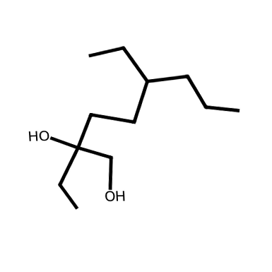 CCCC(CC)CCC(O)(CC)CO